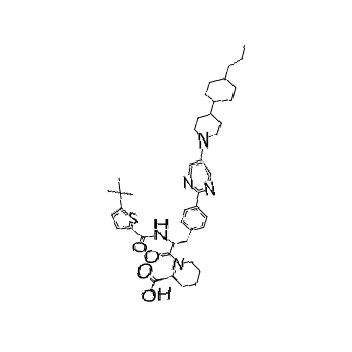 CCCC1CCC(C2CCN(c3cnc(-c4ccc(C[C@H](NC(=O)c5ccc(C(C)(C)C)s5)C(=O)N5CCCC[C@H]5C(=O)O)cc4)nc3)CC2)CC1